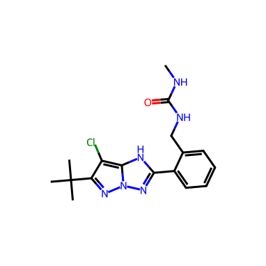 CNC(=O)NCc1ccccc1-c1nn2nc(C(C)(C)C)c(Cl)c2[nH]1